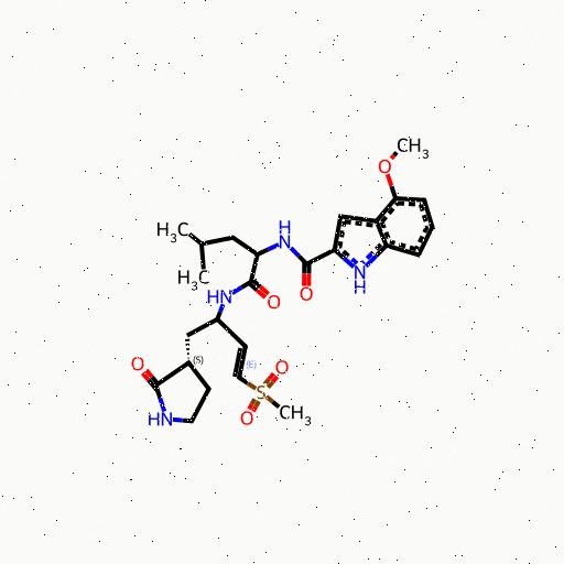 COc1cccc2[nH]c(C(=O)NC(CC(C)C)C(=O)NC(/C=C/S(C)(=O)=O)C[C@@H]3CCNC3=O)cc12